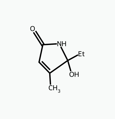 CCC1(O)NC(=O)C=C1C